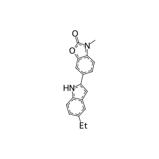 CCc1ccc2[nH]c(-c3ccc4c(c3)oc(=O)n4C)cc2c1